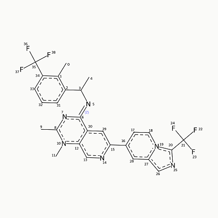 Cc1c(C(C)/N=c2\nc(C)n(C)c3cnc(-c4ccn5c(C(F)(F)F)ncc5c4)cc23)cccc1C(F)(F)F